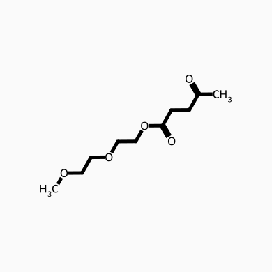 COCCOCCOC(=O)CCC(C)=O